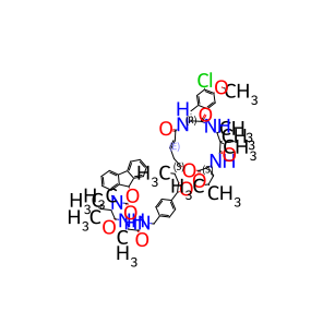 COc1ccc(C[C@H]2NC(=O)/C=C/C[C@@H](C(C)C3OC3c3ccc(CNC(=O)C(C)NC(=O)C(C(C)C)N(C)C(=O)OC4c5ccccc5-c5ccccc54)cc3)OC(=O)[C@H](CC(C)C)NC(=O)C(C)(C)C(C)NC2=O)cc1Cl